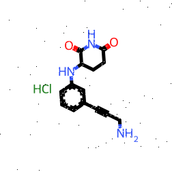 Cl.NCC#Cc1cccc(NC2CCC(=O)NC2=O)c1